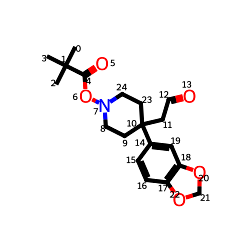 CC(C)(C)C(=O)ON1CCC(CC=O)(c2ccc3c(c2)OCO3)CC1